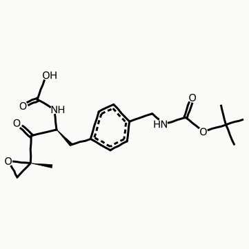 CC(C)(C)OC(=O)NCc1ccc(C[C@H](NC(=O)O)C(=O)[C@]2(C)CO2)cc1